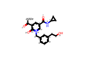 CNC(=O)c1cc(C(=O)NC2CC2)cn(Cc2cccc(CCO)c2)c1=O